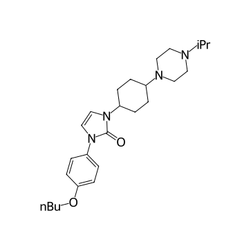 CCCCOc1ccc(-n2ccn(C3CCC(N4CCN(C(C)C)CC4)CC3)c2=O)cc1